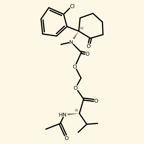 CC(=O)N[C@H](C(=O)OCOC(=O)N(C)[C@]1(c2ccccc2Cl)CCCCC1=O)C(C)C